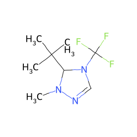 CN1N=CN(C(F)(F)F)C1C(C)(C)C